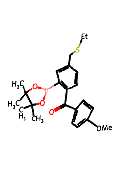 CCSCc1ccc(C(=O)c2ccc(OC)cc2)c(B2OC(C)(C)C(C)(C)O2)c1